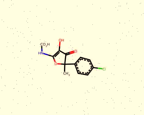 CC1(c2ccc(Cl)cc2)OC(NC(=O)O)=C(O)C1=O